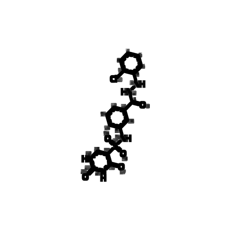 O=C(NNc1ccccc1Cl)c1cccc(NS(=O)(=O)c2c[nH]c(=O)[nH]c2=O)c1